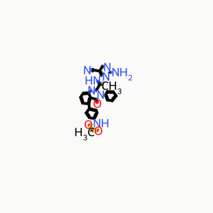 C[C@@H](Nc1nc(N)ncc1C#N)c1nc2cccc(-c3ccc(NS(C)(=O)=O)cc3)c2c(=O)n1-c1ccccc1